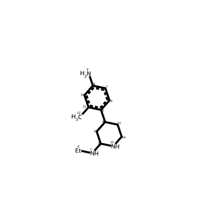 CCNC1CC(c2ccc(N)cc2C)CCN1